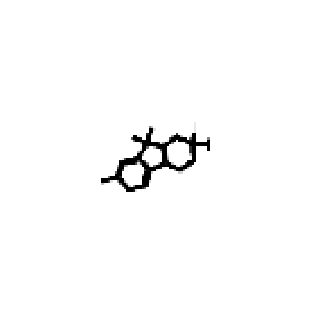 CC1C=C2C(=CC1)C1CCC(I)(I)CC1C2(C)C